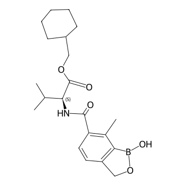 Cc1c(C(=O)N[C@H](C(=O)OCC2CCCCC2)C(C)C)ccc2c1B(O)OC2